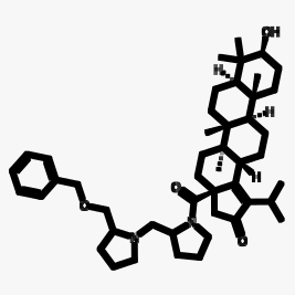 CC(C)C1=C2[C@H]3CC[C@@H]4[C@@]5(C)CC[C@H](O)C(C)(C)[C@@H]5CC[C@@]4(C)[C@]3(C)CC[C@@]2(C(=O)N2CCCC2CN2CCCC2COCc2ccccc2)CC1=O